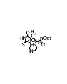 CCCCCCCCN(CC)C(=S)N1CCNCC1N1C(=S)NC(=O)C1(C)C